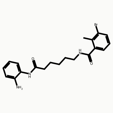 Cc1c(Br)cccc1C(=O)NCCCCCC(=O)Nc1ccccc1N